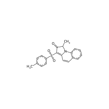 Cc1ccc(S(=O)(=O)C2=C3C=Cc4ccccc4N3C(C)C2=O)cc1